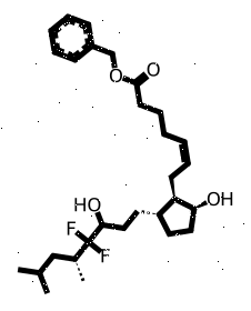 CC(C)C[C@@H](C)C(F)(F)C(O)CC[C@H]1CC[C@H](O)[C@@H]1C/C=C\CCCC(=O)OCc1ccccc1